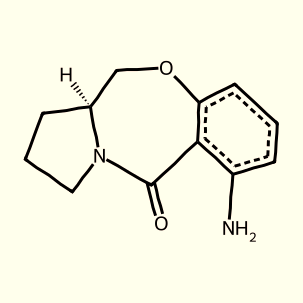 Nc1cccc2c1C(=O)N1CCC[C@H]1CO2